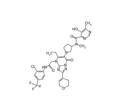 CCc1c(N2CCC(N(C)C(=O)c3ncnc(C)c3O)C2)c(=O)n2nc(C3=CCOCC3)nc2n1CC(=O)Nc1ccc(C(F)(F)F)cc1Cl